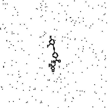 CCC1(CNC(=O)c2ccc(C#Cc3ccc(F)cc3F)cc2)COC1